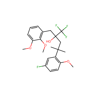 COc1ccc(F)cc1C(C)(C)CC(O)(Cc1cccc(OC)c1OC)C(F)(F)F